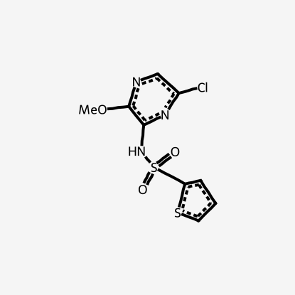 COc1ncc(Cl)nc1NS(=O)(=O)c1cccs1